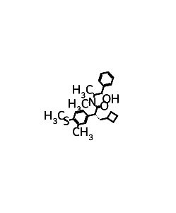 CSc1ccc([C@@H](CC2CCC2)C(=O)N(C)[C@H](C)[C@@H](O)c2ccccc2)cc1C